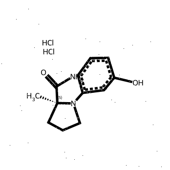 C[C@@]1(C(N)=O)CCCN1c1cccc(O)c1.Cl.Cl